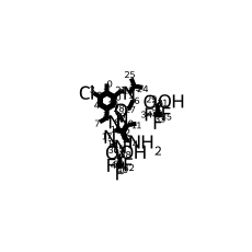 Cc1c(Cl)cc(C(C)n2nc(C)c3c(N)ncnc32)c2c1CN(C(C)C)CCO2.O=C(O)C(F)(F)F.O=C(O)C(F)(F)F